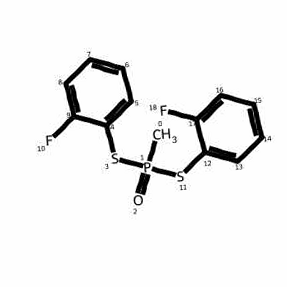 CP(=O)(Sc1ccccc1F)Sc1ccccc1F